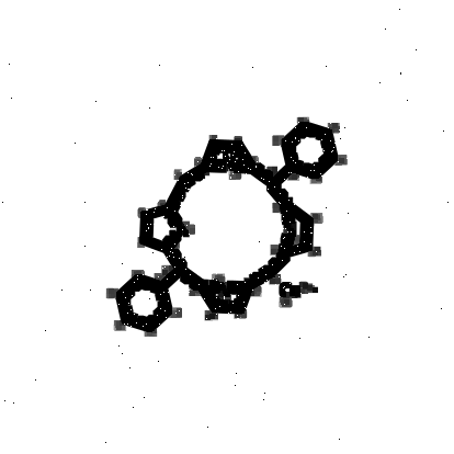 C1=Cc2nc1cc1ccc([nH]1)c(-c1ccccc1)c1nc(cc3ccc([nH]3)c2-c2ccccc2)C=C1.[Cu+2]